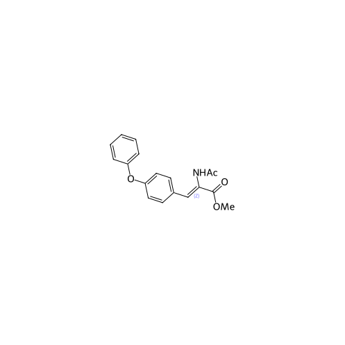 COC(=O)/C(=C/c1ccc(Oc2ccccc2)cc1)NC(C)=O